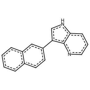 c1ccc2cc(-c3c[nH]c4cccnc34)ccc2c1